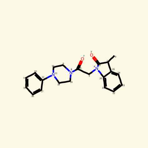 CC1C(=O)N(CC(=O)N2CCN(c3ccccc3)CC2)c2ccccc21